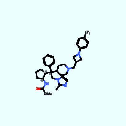 COC(=O)N[C@H]1CCC[C@@H]1[C@](Cn1ccnc1C)(c1ccccc1)C1CCN(CC2CN(c3ccc(C(F)(F)F)cc3)C2)CC1